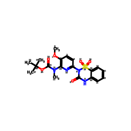 COc1ccc(N2C(=O)Nc3ccccc3S2(=O)=O)nc1N(C)C(=O)OC(C)(C)C